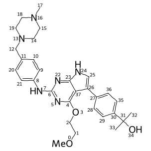 COCCOc1nc(Nc2ccc(CN3CCN(C)CC3)cc2)nc2[nH]cc(-c3ccc(C(C)(C)O)cc3)c12